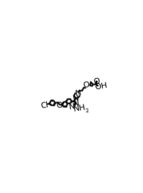 Nc1nc2c(c(N3CCN(CCCCOC4CC(C(=O)O)C4)CC3)n1)CCc1cc(OCc3ccc(Cl)cc3)ccc1-2